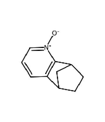 [O-][n+]1cccc2c1C1CCC2C1